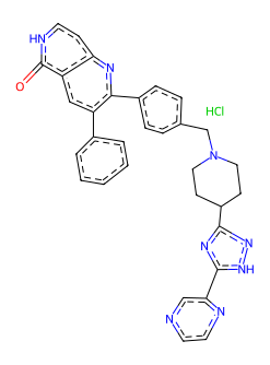 Cl.O=c1[nH]ccc2nc(-c3ccc(CN4CCC(c5n[nH]c(-c6cnccn6)n5)CC4)cc3)c(-c3ccccc3)cc12